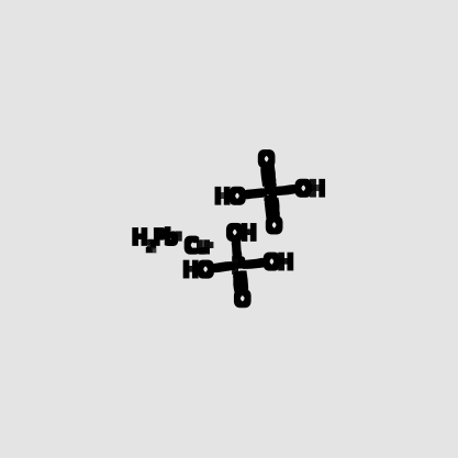 O=P(O)(O)O.O=S(=O)(O)O.[Cu].[PbH2]